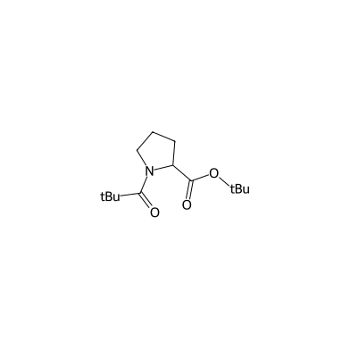 CC(C)(C)OC(=O)C1CCCN1C(=O)C(C)(C)C